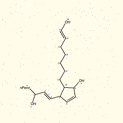 CCCCCC(O)/C=C/C1C=CC(O)C1CCCCCC=CO